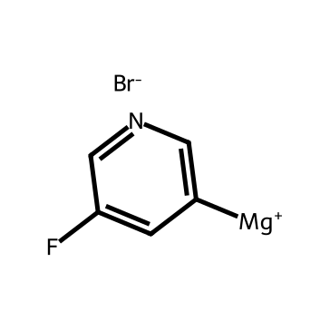 Fc1cnc[c]([Mg+])c1.[Br-]